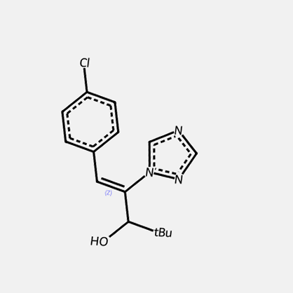 CC(C)(C)C(O)/C(=C/c1ccc(Cl)cc1)n1cncn1